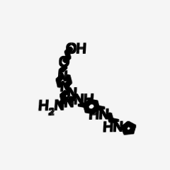 Nc1cc(N2CCN(CCOCCO)CC2)nc(NCC2CCC(CNCCCNC3CCCC3)CC2)n1